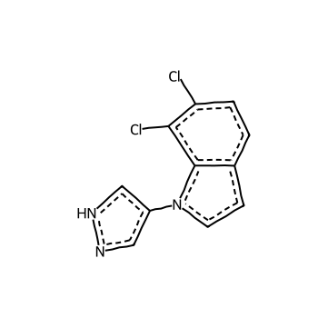 Clc1ccc2ccn(-c3cn[nH]c3)c2c1Cl